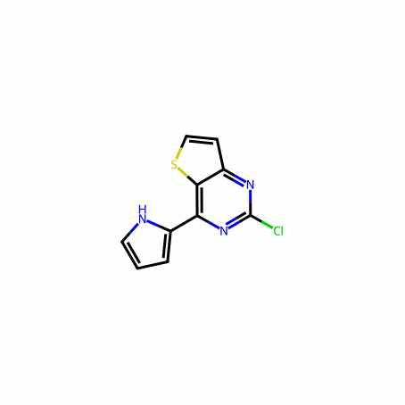 Clc1nc(-c2ccc[nH]2)c2sccc2n1